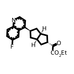 CCOC(=O)C(=O)[C@H]1C[C@@H]2C[C@H](c3ccnc4ccc(F)cc34)C[C@@H]2C1